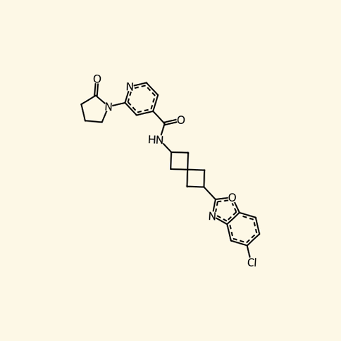 O=C(NC1CC2(C1)CC(c1nc3cc(Cl)ccc3o1)C2)c1ccnc(N2CCCC2=O)c1